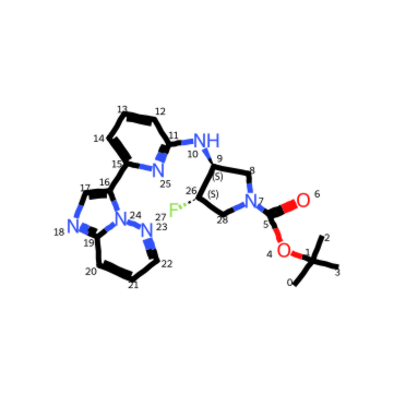 CC(C)(C)OC(=O)N1C[C@H](Nc2cccc(-c3cnc4cccnn34)n2)[C@@H](F)C1